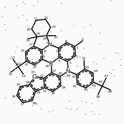 Cc1cc2c3c(c1)N1c4c(cc(C(C)(C)C)cc4C4(C)CCCCC14C)B3c1c(ccc3c1oc1ccccc13)N2c1ccc(C(C)(C)C)cc1C